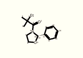 CCC(C)(C)C(=O)N1CCO[C@H]1c1ccccc1